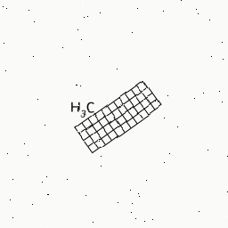 CC12C3C4CC5C6C7CC8C9C%10C%11C%12C%13C%14C%15C%16C%17CC%18C%19C%20CC%21C%22C%23C%24C%25C%26C1C1%27C%26%28C%25%26C%24%25C%23%24C%22%23C%20%21C%19%20C%18%17C%16%17C%15%16C%14%15C%13%14C%12%13C%11%12C%10%11C9%10C78C67C54C34C21C%11(C7%104)C%12%27C%13%28C%14%26C%15%25C%16%24C%20%17%23